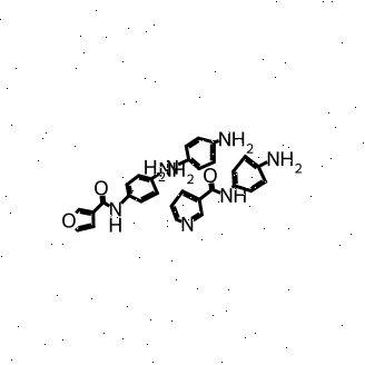 Nc1ccc(N)cc1.Nc1ccc(NC(=O)c2cccnc2)cc1.Nc1ccc(NC(=O)c2ccoc2)cc1